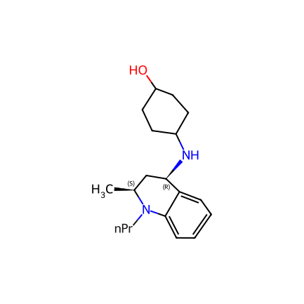 CCCN1c2ccccc2[C@H](NC2CCC(O)CC2)C[C@@H]1C